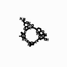 C=C1CC2CC[C@@]3(C)CC(O)C(C)[C@@H]4OC5CCC(CC(=O)CC6C(C[C@H]7O[C@@H](CC[C@@H]1O2)C[C@@H](C)C7=C)O[C@H](CC(O)CN)[C@@H]6OC)O[C@@H]5C(O3)C4I